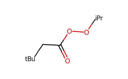 CC(C)OOC(=O)CC(C)(C)C